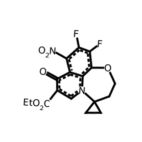 CCOC(=O)c1cn2c3c(c(F)c(F)c([N+](=O)[O-])c3c1=O)OCCC21CC1